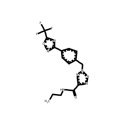 CCCNC(=O)c1nnn(Cc2ccc(-c3noc(C(F)(F)F)n3)cc2)n1